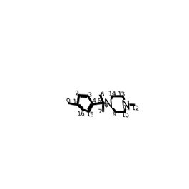 Cc1ccc(C(C)(C)N2CCN(C)CC2)cc1